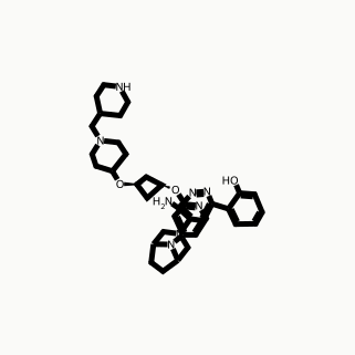 Nc1nnc(-c2ccccc2O)cc1N1CC2CCC(C1)N2c1ccnc(O[C@H]2C[C@H](OC3CCN(CC4CCNCC4)CC3)C2)c1